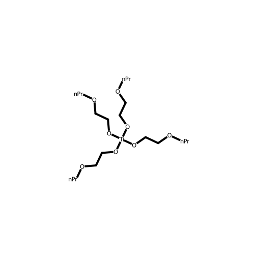 CCCOCC[O][Ti]([O]CCOCCC)([O]CCOCCC)[O]CCOCCC